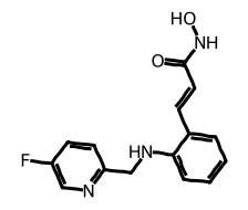 O=C(C=Cc1ccccc1NCc1ccc(F)cn1)NO